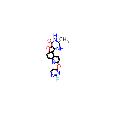 CC1CNc2c(oc3ccc4nc(Oc5ccnc(F)n5)ccc4c23)C(=O)N1